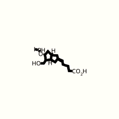 O=C(O)CCCC=C1C[C@H]2C[C@@H](OPI)C(CO)[C@H]2C1